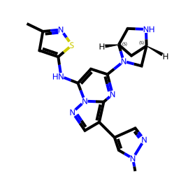 Cc1cc(Nc2cc(N3C[C@@H]4C[C@H]3CN4)nc3c(-c4cnn(C)c4)cnn23)sn1